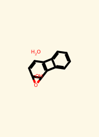 O.OC12C=CC3=C(c4ccccc43)C1O2